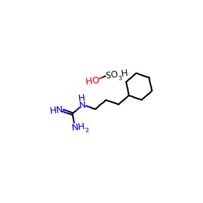 N=C(N)NCCCC1CCCCC1.O=S(=O)(O)O